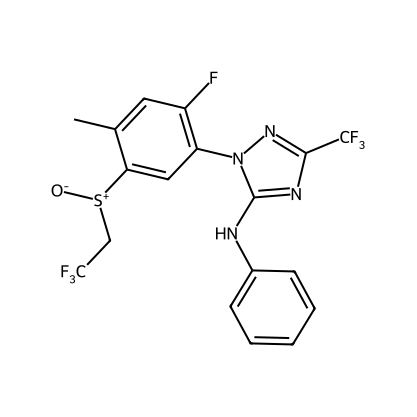 Cc1cc(F)c(-n2nc(C(F)(F)F)nc2Nc2ccccc2)cc1[S+]([O-])CC(F)(F)F